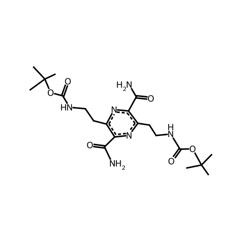 CC(C)(C)OC(=O)NCCc1nc(C(N)=O)c(CCNC(=O)OC(C)(C)C)nc1C(N)=O